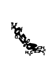 CC(C)(C)c1ccc(S(=O)(=O)N2CCN(c3ncc(C(F)(F)F)cc3Cl)CC2)cc1